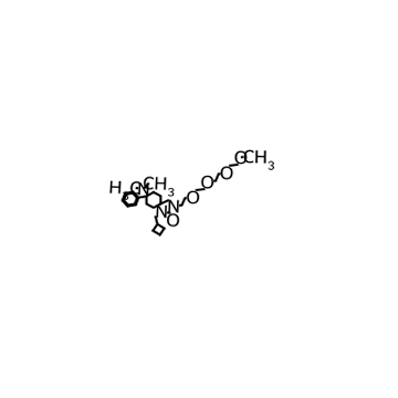 COCCOCCOCCOCCN1CC2(CCC(c3ccccc3)(N(C)C)CC2)N(CC2CCC2)C1=O